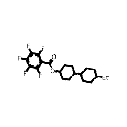 CCC1CCC(C2CCC(OC(=O)c3c(F)c(F)c(F)c(F)c3F)CC2)CC1